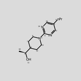 CCCc1cnc(N2CCC([C@H](C)O)CC2)nc1